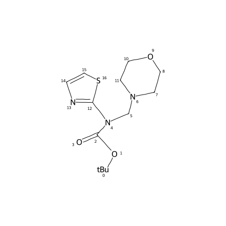 CC(C)(C)OC(=O)N(CN1CCOCC1)c1nccs1